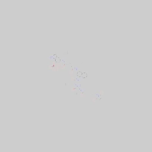 Cc1c[nH]c2c(OP(=O)(O)O)cc3c(c12)C(CCl)CN3C(=O)C12CC3(C(=O)N4CC(CCl)c5c4cc(NC(=O)C(C)NC(=O)C(NC(=O)CCCCCN4C(=O)C=CC4=O)C(C)C)c4ccccc54)CC31C2